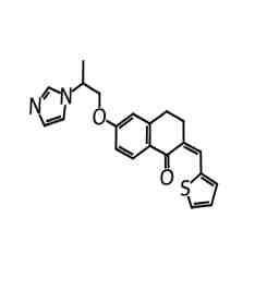 CC(COc1ccc2c(c1)CCC(=Cc1cccs1)C2=O)n1ccnc1